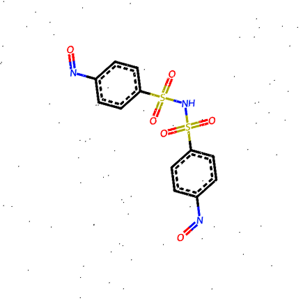 O=Nc1ccc(S(=O)(=O)NS(=O)(=O)c2ccc(N=O)cc2)cc1